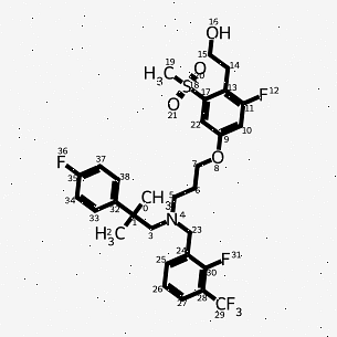 CC(C)(CN(CCCOc1cc(F)c(CCO)c(S(C)(=O)=O)c1)Cc1cccc(C(F)(F)F)c1F)c1ccc(F)cc1